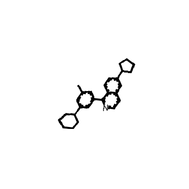 Cc1cc(-c2nccc3cc(C4CCCC4)ccc23)cc(C2CCCCC2)c1